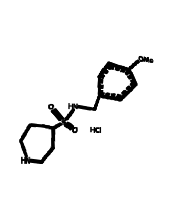 COc1ccc(CNS(=O)(=O)C2CCNCC2)cc1.Cl